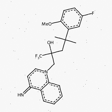 COc1ccc(F)cc1C(C)(C)CC(O)(Cn1ccc(=N)c2ccccc21)C(F)(F)F